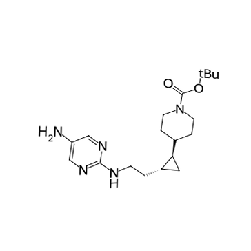 CC(C)(C)OC(=O)N1CCC([C@H]2C[C@@H]2CCNc2ncc(N)cn2)CC1